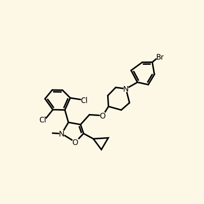 CN1OC(C2CC2)=C(COC2CCN(c3ccc(Br)cc3)CC2)C1c1c(Cl)cccc1Cl